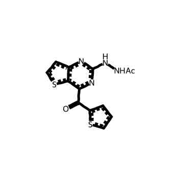 CC(=O)NNc1nc(C(=O)c2cccs2)c2sccc2n1